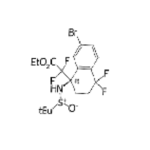 CCOC(=O)C(F)(F)[C@@]1(N[S+]([O-])C(C)(C)C)CCC(F)(F)c2ccc(Br)cc21